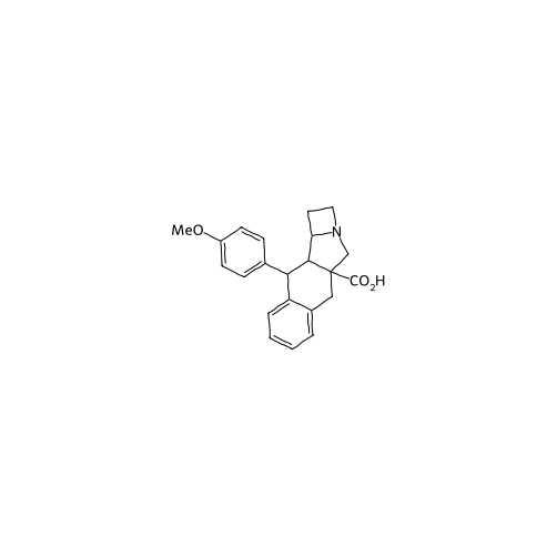 COc1ccc(C2c3ccccc3CC3(C(=O)O)CN4CCC4C23)cc1